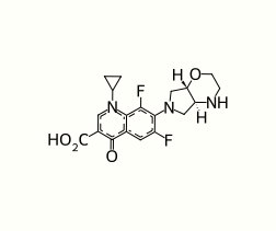 O=C(O)c1cn(C2CC2)c2c(F)c(N3C[C@@H]4NCCO[C@H]4C3)c(F)cc2c1=O